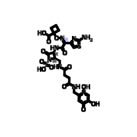 Nc1nc(/C(=N/OC2(C(=O)O)CCC2)C(=O)N[C@@H]2C(=O)N(S(=O)(=O)O)[C@@H]2CNC(=O)CCC(=O)NCc2cc(=O)c(O)cn2O)cs1